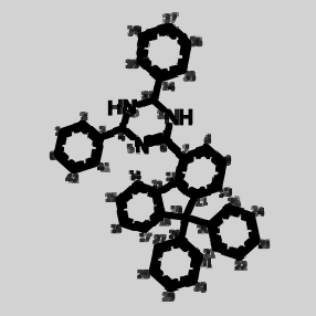 c1ccc(C2N=C(c3cccc4c3-c3ccccc3C4(c3ccccc3)c3ccccc3)NC(c3ccccc3)N2)cc1